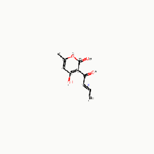 CCC(C)/C=C/C(=O)c1c(O)cc(C)oc1=O